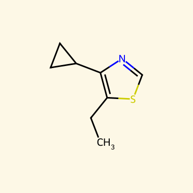 CCc1scnc1C1CC1